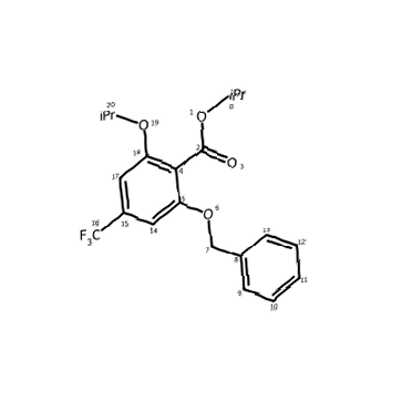 CC(C)OC(=O)c1c(OCc2ccccc2)cc(C(F)(F)F)cc1OC(C)C